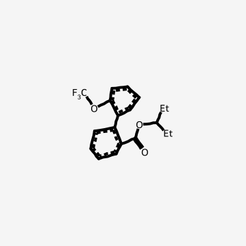 CCC(CC)OC(=O)c1ccccc1-c1ccccc1OC(F)(F)F